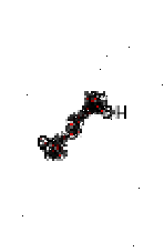 COc1ccc(N(c2ccc(C=Cc3ccc4cc5cc(C=Cc6ccc(N(c7ccc(CO)cc7)c7cccc8c7CCCC8)cc6)ccc5cc4c3)cc2)c2cccc3c2CCCC3)cc1